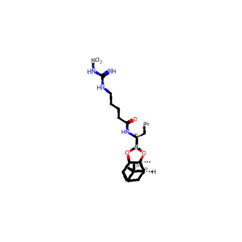 CC(C)C[C@H](NC(=O)[CH]CCCNC(=N)N[N+](=O)[O-])B1OC2CC3C[C@@H](C3(C)C)[C@]2(C)O1